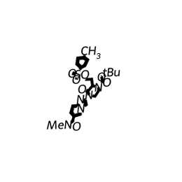 CNC(=O)c1ccc2nc(N3CCN(C(=O)OC(C)(C)C)C(CCOS(=O)(=O)c4ccc(C)cc4)C3=O)cn2c1